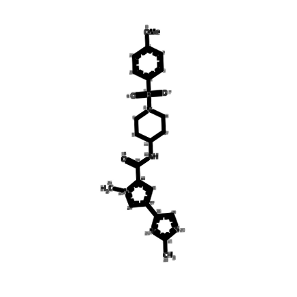 COc1ccc(S(=O)(=O)N2CCC(NC(=O)c3cc(-c4csc(C)n4)cn3C)CC2)cc1